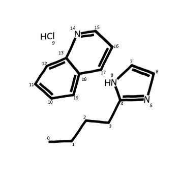 CCCCc1ncc[nH]1.Cl.c1ccc2ncccc2c1